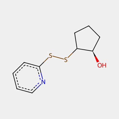 O[C@@H]1CCCC1SSc1ccccn1